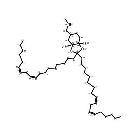 CCCCC/C=C\C/C=C\CCCCCCCCC1(CCCCCCCC/C=C\C/C=C\CCCCC)O[C@H]2CC[C@H](CNC)C[C@H]2O1